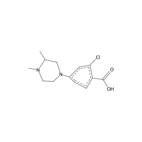 CC1CN(c2ccc(C(=O)O)c(Cl)c2)CCN1C